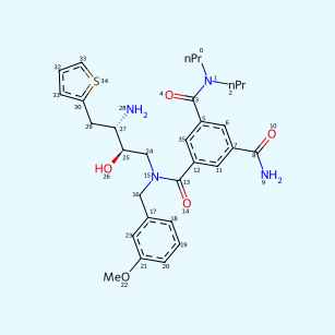 CCCN(CCC)C(=O)c1cc(C(N)=O)cc(C(=O)N(Cc2cccc(OC)c2)C[C@@H](O)[C@@H](N)Cc2cccs2)c1